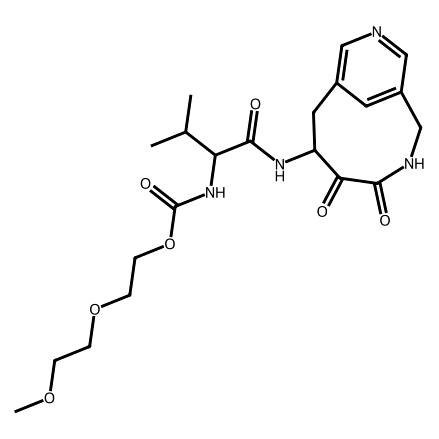 COCCOCCOC(=O)NC(C(=O)NC1Cc2cncc(c2)CNC(=O)C1=O)C(C)C